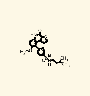 COc1ccc2[nH]c(=O)c3sccc3c2c1-c1ccc(S(=O)(=O)NCCC(C)C)cc1